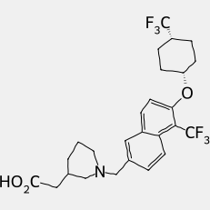 O=C(O)CC1CCCN(Cc2ccc3c(C(F)(F)F)c(O[C@H]4CC[C@@H](C(F)(F)F)CC4)ccc3c2)C1